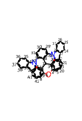 c1ccc2c(c1)Oc1ccccc1C2c1c(-n2c3ccccc3c3ccccc32)cccc1-n1c2ccccc2c2ccccc21